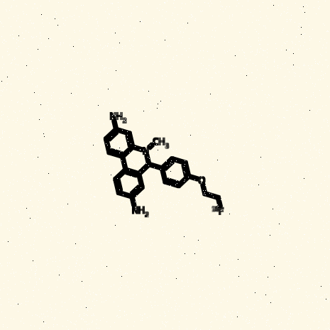 CN1c2cc(N)ccc2-c2ccc(N)cc2C1c1ccc(OCC[18F])cc1